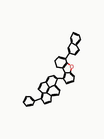 C1=C(c2ccc3ccccc3c2)c2oc3cccc(-c4ccc5ccc6c(-c7ccccc7)ccc7ccc4c5c76)c3c2CC1